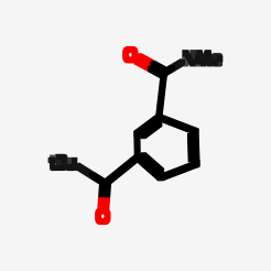 CNC(=O)c1cccc(C(=O)C(C)(C)C)c1